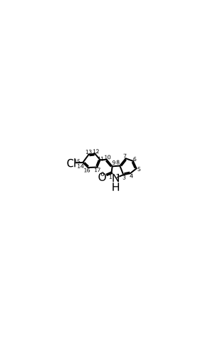 O=C1Nc2ccccc2C1=Cc1ccc(Cl)cc1